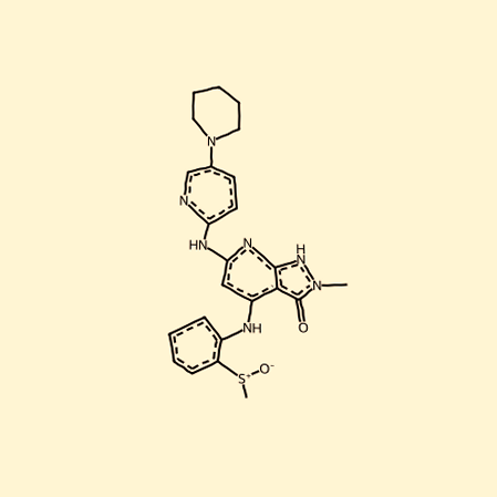 Cn1[nH]c2nc(Nc3ccc(N4CCCCC4)cn3)cc(Nc3ccccc3[S+](C)[O-])c2c1=O